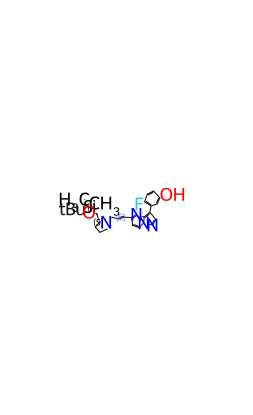 CC(C)(C)[Si](C)(C)OC[C@@H]1CCCN1C/C=C/c1ccn2ncc(-c3cc(O)ccc3F)c2n1